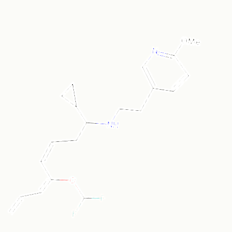 C=C/C=C(\C=C/CC(NCCc1ccc(OC)nc1)C1CC1)OC(F)F